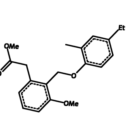 CCc1ccc(OCc2c(CC(=O)OC)cccc2OC)c(C)c1